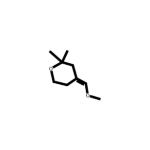 COC=C1CCOC(C)(C)C1